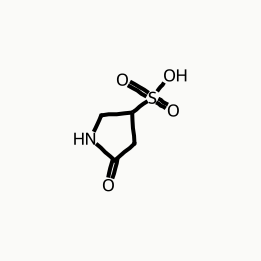 O=C1CC(S(=O)(=O)O)CN1